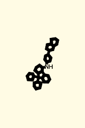 c1ccc(C2(c3ccccc3)c3ccccc3-c3c(Nc4ccc(-c5ccc6ccccc6c5)cc4)cccc32)cc1